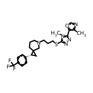 Cc1ncoc1-c1nnc(SCCCN2CCCC3(C[C@@H]3c3ccc(C(F)(F)F)cc3)C2)n1C